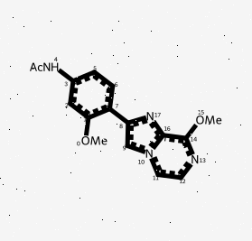 COc1cc(NC(C)=O)ccc1-c1cn2ccnc(OC)c2n1